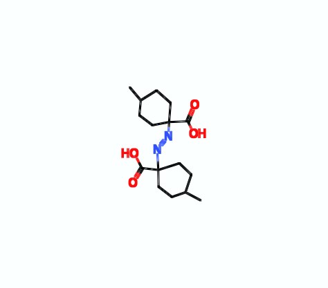 CC1CCC(N=NC2(C(=O)O)CCC(C)CC2)(C(=O)O)CC1